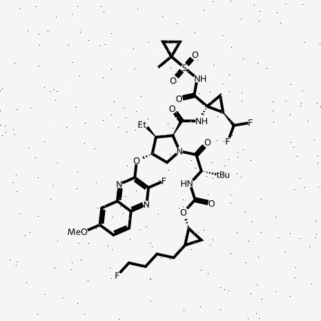 CC[C@@H]1[C@@H](Oc2nc3cc(OC)ccc3nc2F)CN(C(=O)[C@@H](NC(=O)O[C@@H]2CC2CCCCF)C(C)(C)C)[C@@H]1C(=O)N[C@]1(C(=O)NS(=O)(=O)C2(C)CC2)C[C@H]1C(F)F